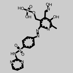 Cc1nc(N=Nc2ccc(S(=O)(=O)Nc3ncccn3)cc2)c(COP(=O)(O)O)c(C=NO)c1O